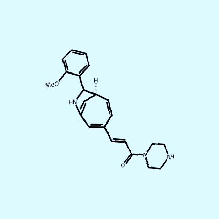 COc1ccccc1C1NC2=C[C@@H]1C=CC(/C=C/C(=O)N1CCNCC1)=C2